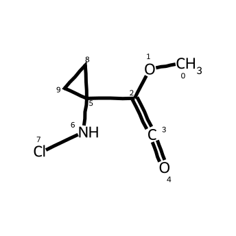 COC(=C=O)C1(NCl)CC1